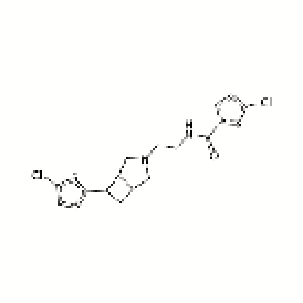 O=C(NCCN1CC2CC(c3ccc(Cl)s3)C2C1)c1ccc(Cl)s1